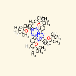 CC(C)C(Oc1cccc2c1-c1nc-2nc2c3c(OC(C(C)C)C(C)C)cccc3c3nc4nc(nc5c6c(OC(C(C)C)C(C)C)cccc6c(n1)n5n32)-c1cccc(OC(C(C)C)C(C)C)c1-4)C(C)C